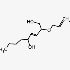 C=CCOC(C=CC(O)CCCC)CO